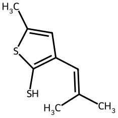 CC(C)=Cc1cc(C)sc1S